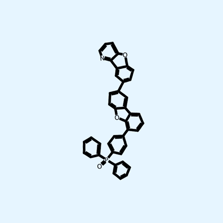 O=P(c1ccccc1)(c1ccccc1)c1ccc(-c2cccc3c2oc2ccc(-c4ccc5oc6cccnc6c5c4)cc23)cc1